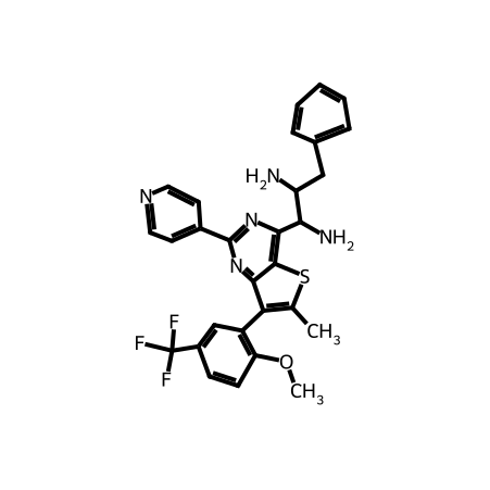 COc1ccc(C(F)(F)F)cc1-c1c(C)sc2c(C(N)C(N)Cc3ccccc3)nc(-c3ccncc3)nc12